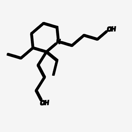 CCC1CCCN(CCCO)C1(CC)CCCO